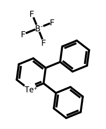 F[B-](F)(F)F.c1ccc(-c2ccc[te+]c2-c2ccccc2)cc1